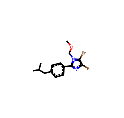 COCn1c(-c2ccc(CC(C)C)cc2)nc(Br)c1Br